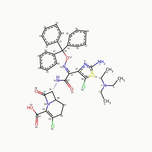 CCN(CC)CC.Nc1nc(C(=NOC(c2ccccc2)(c2ccccc2)c2ccccc2)C(=O)N[C@H]2C(=O)N3C(C(=O)O)=C(Cl)CCC23)c(Cl)s1